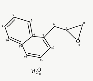 O.c1ccc2c(CC3CO3)cccc2c1